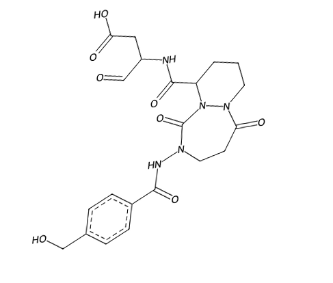 O=CC(CC(=O)O)NC(=O)C1CCCN2C(=O)CCN(NC(=O)c3ccc(CO)cc3)C(=O)N12